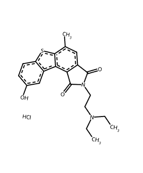 CCN(CC)CCN1C(=O)c2cc(C)c3sc4ccc(O)cc4c3c2C1=O.Cl